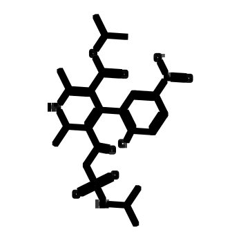 CC1=C(C(=O)OC(C)C)C(c2cc([N+](=O)[O-])ccc2Cl)=C(C(=O)CS(=O)(=O)NC(C)C)C(C)N1